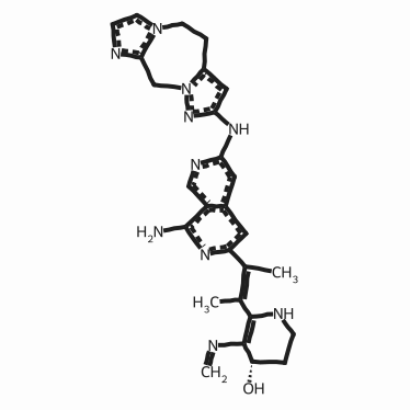 C=NC1=C(/C(C)=C(\C)c2cc3cc(Nc4cc5n(n4)Cc4nccn4CC5)ncc3c(N)n2)NCC[C@@H]1O